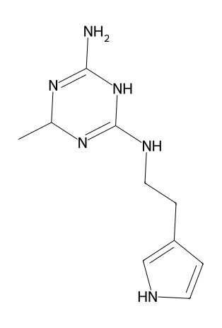 CC1N=C(N)NC(NCCc2cc[nH]c2)=N1